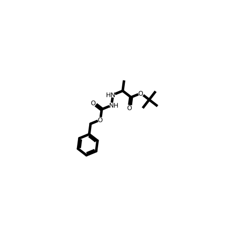 CC(NNC(=O)OCc1ccccc1)C(=O)OC(C)(C)C